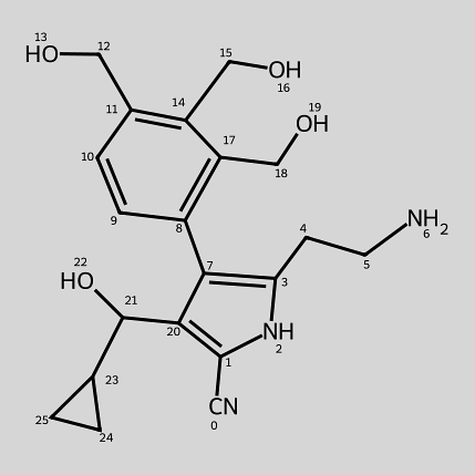 N#Cc1[nH]c(CCN)c(-c2ccc(CO)c(CO)c2CO)c1C(O)C1CC1